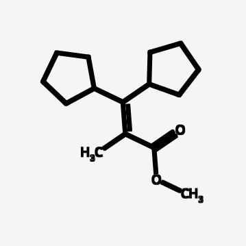 COC(=O)C(C)=C(C1CCCC1)C1CCCC1